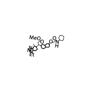 CCn1nnc2c(C)c(C(CC(=O)OC)c3ccc4ccc(OCC(=O)NC5CCCCCC5)cc4c3)ccc21